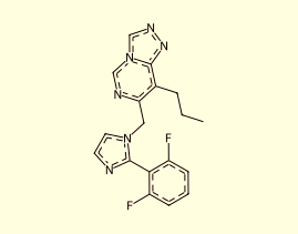 CCCc1c(Cn2ccnc2-c2c(F)cccc2F)ncn2cnnc12